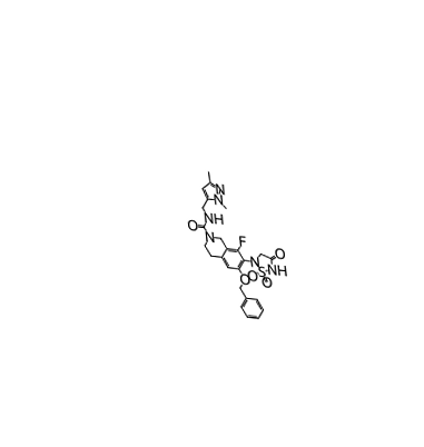 Cc1cc(CNC(=O)N2CCc3cc(OCc4ccccc4)c(N4CC(=O)NS4(=O)=O)c(F)c3C2)n(C)n1